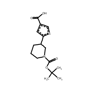 CC(C)(C)OC(=O)N1CCCC(c2cc(C(=O)O)cs2)C1